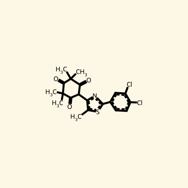 Cc1sc(-c2ccc(Cl)c(Cl)c2)nc1C1C(=O)C(C)(C)C(=O)C(C)(C)C1=O